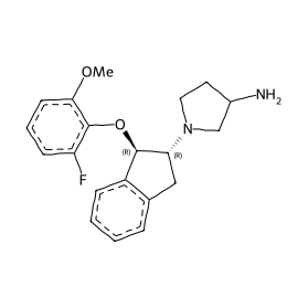 COc1cccc(F)c1O[C@@H]1c2ccccc2C[C@H]1N1CCC(N)C1